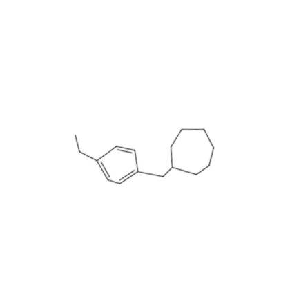 CCc1ccc(CC2CCCCCC2)cc1